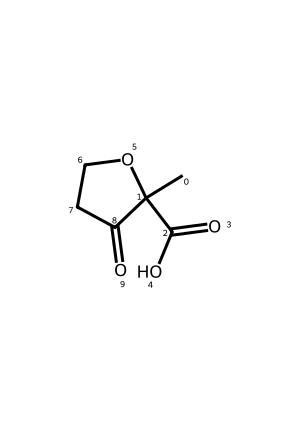 CC1(C(=O)O)OCCC1=O